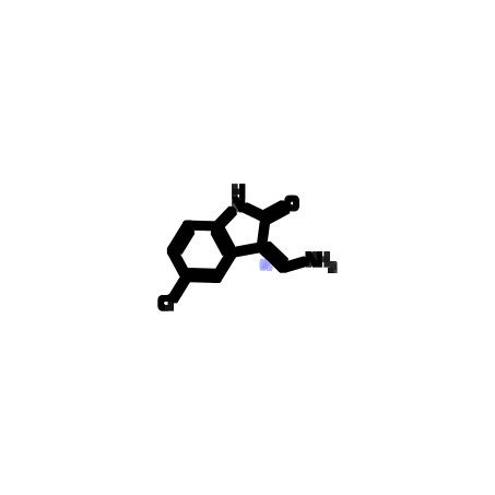 N/C=C1\C(=O)Nc2ccc(Cl)cc21